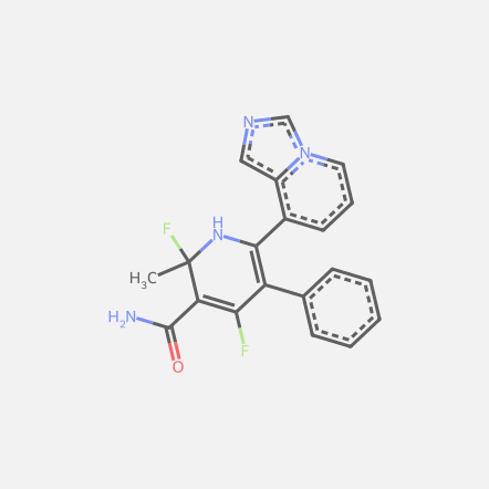 CC1(F)NC(c2cccn3cncc23)=C(c2ccccc2)C(F)=C1C(N)=O